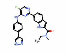 CN(CC(F)(F)F)C(=O)c1cc2ccc(-c3ncc(F)c(Nc4ccc(-c5cn[nH]c5)cc4)n3)cc2[nH]1